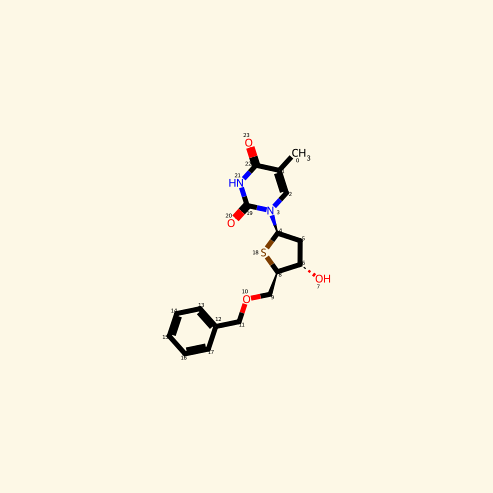 Cc1cn([C@H]2C[C@H](O)[C@@H](COCc3ccccc3)S2)c(=O)[nH]c1=O